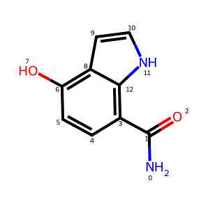 NC(=O)c1ccc(O)c2cc[nH]c12